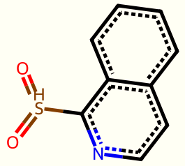 O=[SH](=O)c1nccc2ccccc12